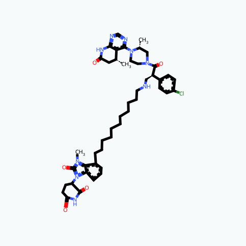 C[C@@H]1CC(=O)Nc2ncnc(N3CCN(C(=O)[C@H](CNCCCCCCCCCCCc4cccc5c4n(C)c(=O)n5C4CCC(=O)NC4=O)c4ccc(Cl)cc4)C[C@H]3C)c21